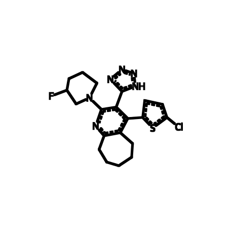 FC1CCCN(c2nc3c(c(-c4ccc(Cl)s4)c2-c2nnn[nH]2)CCCCC3)C1